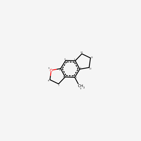 Cc1c2c(cc3c1CCO3)CCC2